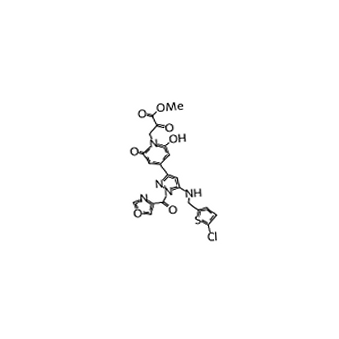 COC(=O)C(=O)Cn1c(O)cc(-c2cc(NCc3ccc(Cl)s3)n(C(=O)c3cocn3)n2)cc1=O